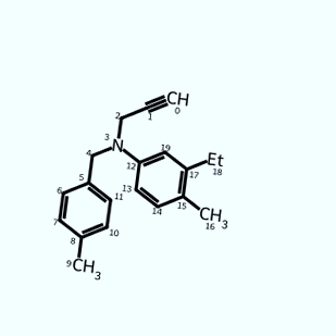 C#CCN(Cc1ccc(C)cc1)c1ccc(C)c(CC)c1